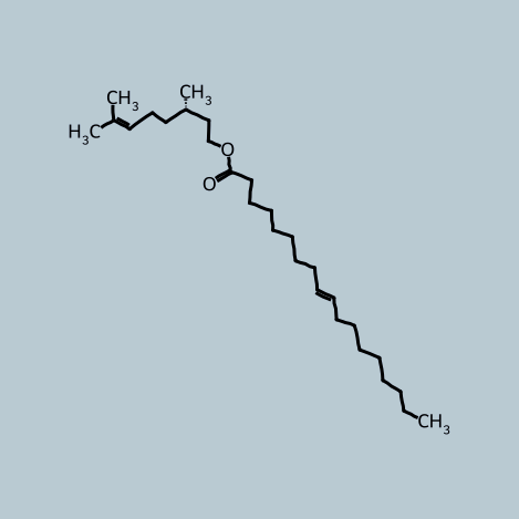 CCCCCCCCC=CCCCCCCCC(=O)OCC[C@@H](C)CCC=C(C)C